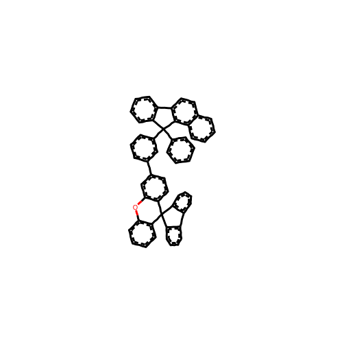 c1ccc(C2(c3cccc(-c4ccc5c(c4)Oc4ccccc4C54c5ccccc5-c5ccccc54)c3)c3ccccc3-c3ccc4ccccc4c32)cc1